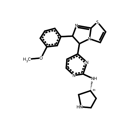 COc1cccc(C2N=C3SC=CN3C2c2ccnc(N[C@@H]3CCNC3)n2)c1